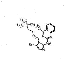 Cc1nc(Nc2ncc(Br)n2COCC[Si](C)(C)C)nc2ccccc12